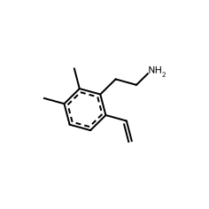 C=Cc1ccc(C)c(C)c1CCN